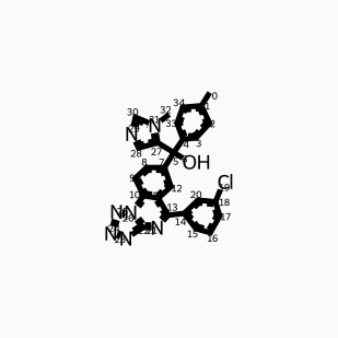 Cc1ccc(C(O)(c2ccc3c(c2)c(-c2cccc(Cl)c2)nc2nnnn23)c2cncn2C)cc1